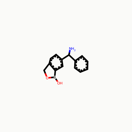 NC(c1ccccc1)c1ccc2c(c1)B(O)OC2